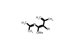 C=C(C)/C(=C(\N=C(C)C)OC)C(C)C